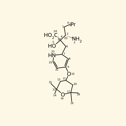 CC(C)C[C@H](N)[C@](O)(CC1C=C(OC2CC(C)(C)OC(C)(C)C2)C=CN1)C(=O)O